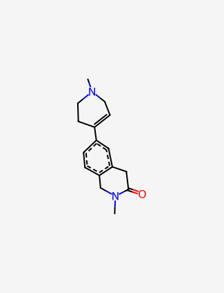 CN1CC=C(c2ccc3c(c2)CC(=O)N(C)C3)CC1